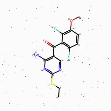 CCSc1ncc(C(=O)c2c(F)ccc(OC)c2F)c(N)n1